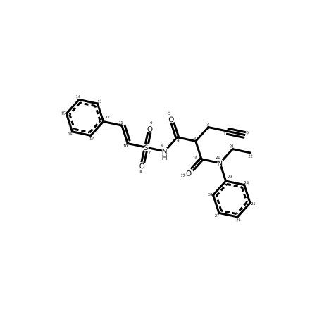 C#CCC(C(=O)NS(=O)(=O)C=Cc1ccccc1)C(=O)N(CC)c1ccccc1